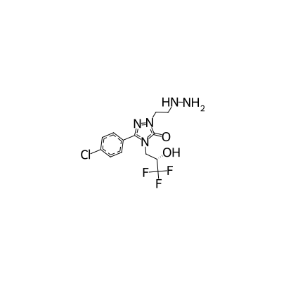 NNCCn1nc(-c2ccc(Cl)cc2)n(C[C@H](O)C(F)(F)F)c1=O